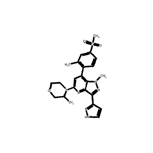 Cc1cc(S(C)(=O)=O)ccc1-c1cc(N2CCOCC2C)nc2c(-c3cc[nH]n3)nn(C)c12